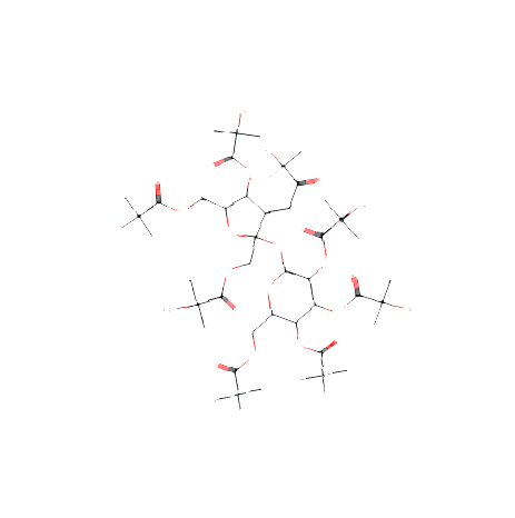 CC(C)(Br)C(=O)CC1C(OC(=O)C(C)(C)Br)C(COC(=O)C(C)(C)Br)OC1(COC(=O)C(C)(C)Br)OC1OC(COC(=O)C(C)(C)Br)C(OC(=O)C(C)(C)Br)C(OC(=O)C(C)(C)Br)C1OC(=O)C(C)(C)Br